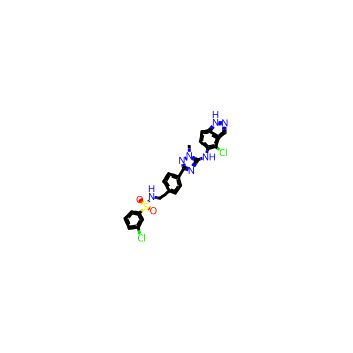 Cn1nc(-c2ccc(CNS(=O)(=O)c3cccc(Cl)c3)cc2)nc1Nc1ccc2[nH]ncc2c1Cl